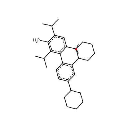 CC(C)c1cc(C(C)C)c(-c2ccc(C3CCCCC3)cc2C2CCCCC2)c(C(C)C)c1P